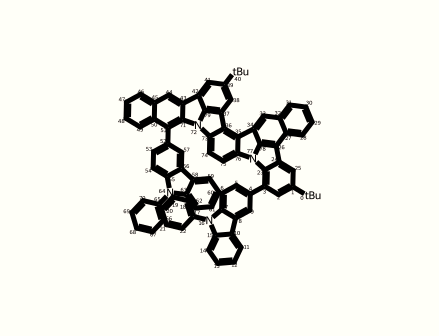 CC(C)(C)c1cc(-c2ccc3c(c2)c2ccccc2n3-c2ccccc2)c2c(c1)c1c3ccccc3cc3c4c5c6cc(C(C)(C)C)cc7c8cc9ccccc9c(-c9ccc%10c(c9)c9ccccc9n%10-c9ccccc9)c8n(c5ccc4n2c31)c76